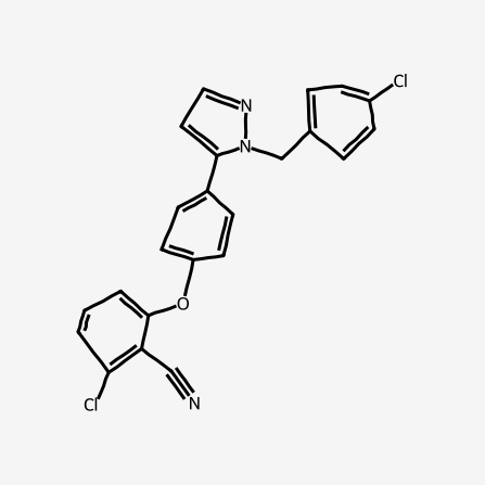 N#Cc1c(Cl)cccc1Oc1ccc(-c2ccnn2Cc2ccc(Cl)cc2)cc1